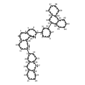 c1cc(-c2ccc3ccc4ccc(-c5ccc6nc7ccccc7cc6c5)nc4c3n2)cc(-c2cc3ccccc3c3ccccc23)c1